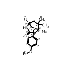 CCOc1ccc(N2C[C@@H]3CC(C)(C)[C@H]2CC(=O)N3)cc1